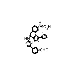 O=Cc1cccc(-c2csc(N[C@@H](Cc3ccc(NS(=O)(=O)O)cc3)c3csc(-c4cccs4)n3)n2)c1